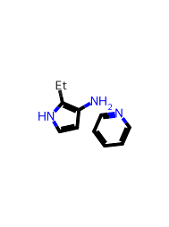 CCc1[nH]ccc1N.c1ccncc1